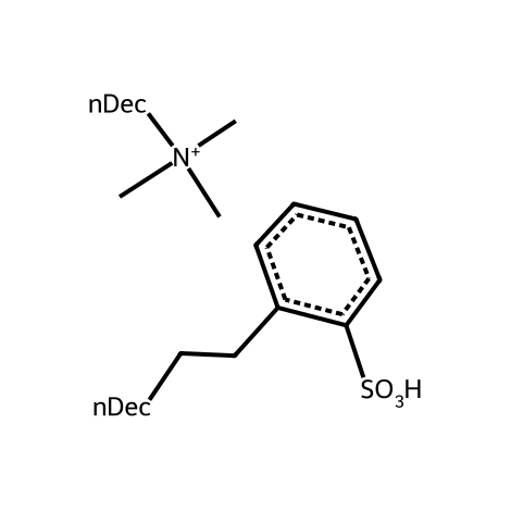 CCCCCCCCCCCCc1ccccc1S(=O)(=O)O.CCCCCCCCCC[N+](C)(C)C